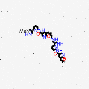 CN/C=C(\C=N)c1cccc(NC(=O)c2cnc3c(c2)CC(C)(CCN/C=C(\C=N)c2cccc(NC(=O)c4cnc5c(c4)CC(C)(C)O5)n2)O3)n1